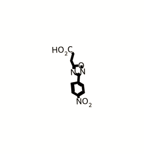 O=C(O)CCc1nc(-c2ccc([N+](=O)[O-])cc2)no1